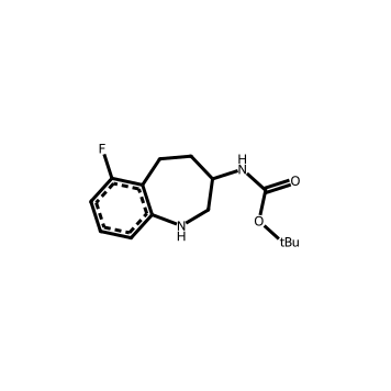 CC(C)(C)OC(=O)NC1CCc2c(F)cccc2NC1